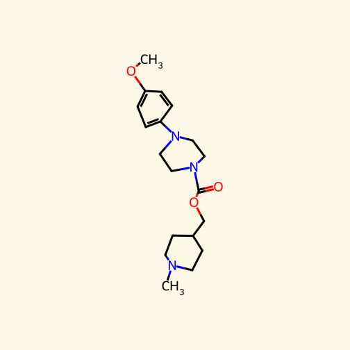 COc1ccc(N2CCN(C(=O)OCC3CCN(C)CC3)CC2)cc1